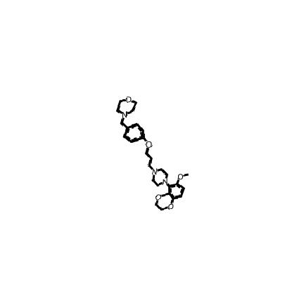 COc1ccc2c(c1N1CCN(CCCOc3ccc(CN4CCOCC4)cc3)CC1)OCCO2